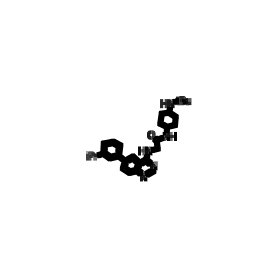 CC(C)c1cccc(-c2ccc3ncnc(NCC(=O)NC4CCC(NC(C)(C)C)CC4)c3c2)c1